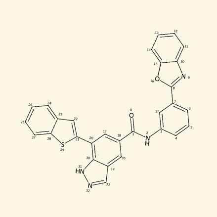 O=C(Nc1cccc(-c2nc3ccccc3o2)c1)c1cc(-c2cc3ccccc3s2)c2[nH]ncc2c1